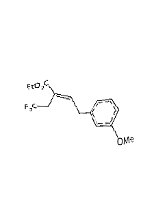 CCOC(=O)C(=CCc1cccc(OC)c1)CC(F)(F)F